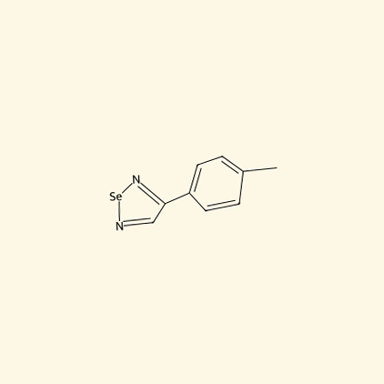 Cc1ccc(-c2cn[se]n2)cc1